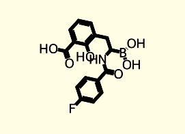 O=C(NC(Cc1cccc(C(=O)O)c1O)B(O)O)c1ccc(F)cc1